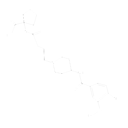 COc1cc(C(=O)NC2CCN(CCCC(=O)NC3(C(=O)O)CCCC3)CC2)ccc1N